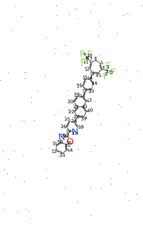 FC(F)(F)C1=CCC(C(F)(F)F)=CC(c2ccc(-c3ccc4cc(-c5ccc(-c6nc7ccccc7o6)nc5)ccc4c3)cc2)=C1